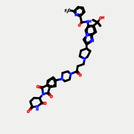 CC(C)(O)c1cc2nc(C3CCN(CCC(=O)N4CCN(c5ccc6c(c5)C(=O)N(C5CCC(=O)NC5=O)C6=O)CC4)CC3)cn2cc1NC(=O)c1cccc(C(F)(F)F)n1